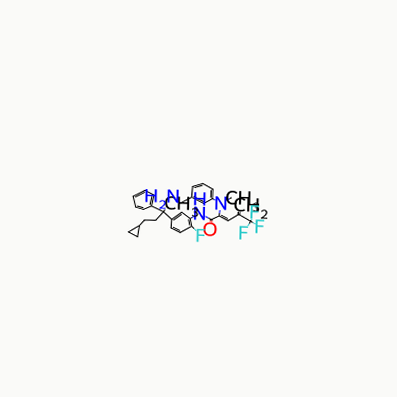 C=C(/C=C(/C(=O)Nc1cc(C(C)(CCC2CC2)c2ccccc2)ccc1F)N(C)c1cccc(CN)c1)C(F)(F)F